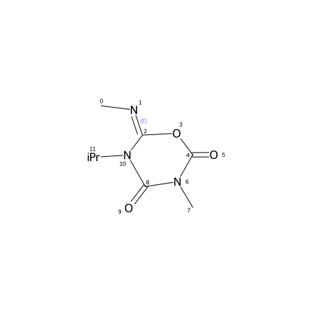 C/N=c1/oc(=O)n(C)c(=O)n1C(C)C